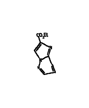 CCOC(=O)c1cn2n[c]ccc2n1